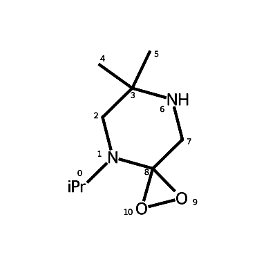 CC(C)N1CC(C)(C)NCC12OO2